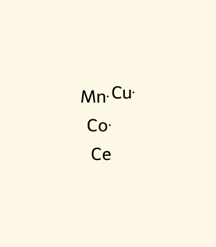 [Ce].[Co].[Cu].[Mn]